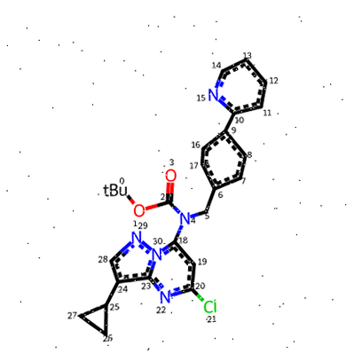 CC(C)(C)OC(=O)N(Cc1ccc(-c2ccccn2)cc1)c1cc(Cl)nc2c(C3CC3)cnn12